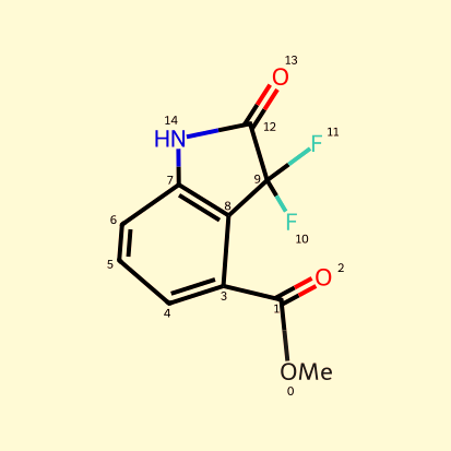 COC(=O)c1cccc2c1C(F)(F)C(=O)N2